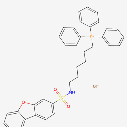 O=S(=O)(NCCCCCC[P+](c1ccccc1)(c1ccccc1)c1ccccc1)c1ccc2c(c1)oc1ccccc12.[Br-]